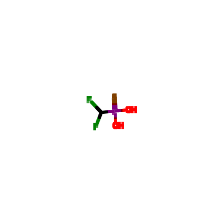 OP(O)(=S)C(F)F